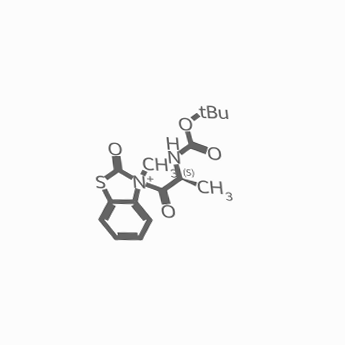 C[C@H](NC(=O)OC(C)(C)C)C(=O)[N+]1(C)C(=O)Sc2ccccc21